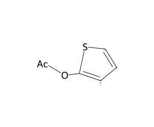 CC(=O)Oc1[c]ccs1